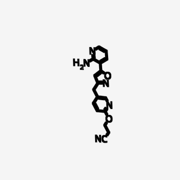 N#CCCOc1ccc(Cc2cc(-c3cccnc3N)on2)cn1